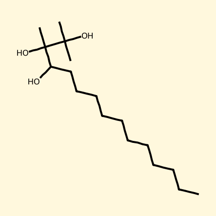 CCCCCCCCCCCC(O)C(C)(O)C(C)(C)O